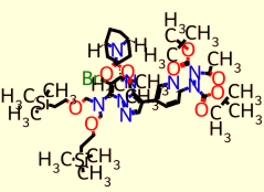 CC(=O)N(C(=O)OC(C)(C)C)N(C(=O)OC(C)(C)C)c1ccc(-c2cnn3c(N(COCC[Si](C)(C)C)COCC[Si](C)(C)C)c(Br)c([C@@H]4C[C@H]5CC[C@@H](C4)N5C(=O)OC(C)(C)C)nc23)cn1